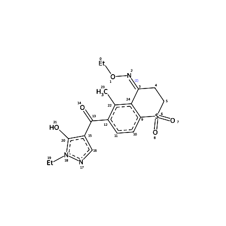 CCO/N=C1/CCS(=O)(=O)c2ccc(C(=O)c3cnn(CC)c3O)c(C)c21